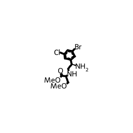 COCC(NC[C@H](N)c1cc(Cl)cc(Br)c1)C(=O)OC